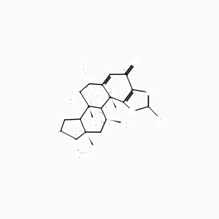 CCCC1OC2=C(O1)[C@@]1(C)C(=CC2=O)[C@@H](F)C[C@H]2[C@@H]3CC[C@@H](SC)[C@@]3(C)C[C@H](O)[C@@]21F